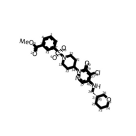 COC(=O)c1cccc(S(=O)(=O)N2CCC(n3ncc(NC[C@H]4CCCOC4)c(Cl)c3=O)CC2)c1